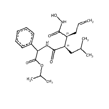 C=CC[C@H](C(=O)NO)[C@@H](CC(C)C)C(=O)NC(C(=O)OC(C)C)c1ccccc1